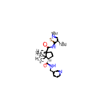 CCCCc1cn(C(C)(C)C)s/c1=N\C(=O)[C@]1(C)CC[C@H](C(=O)NCc2cccnc2)C1(C)C